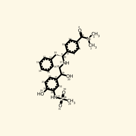 CN(C)C(=O)c1ccc([C@@H](Cc2ccccc2)NCC(O)c2ccc(O)c(NS(C)(=O)=O)c2)cc1